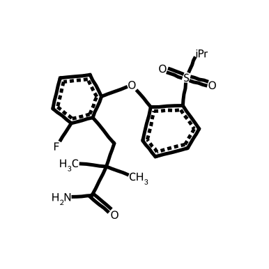 CC(C)S(=O)(=O)c1ccccc1Oc1cccc(F)c1CC(C)(C)C(N)=O